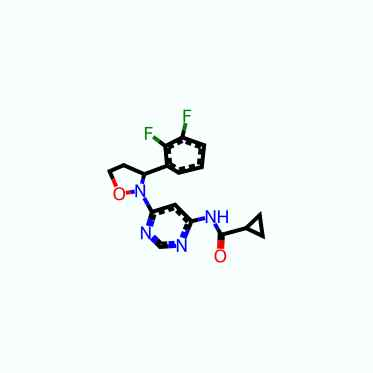 O=C(Nc1cc(N2OCCC2c2cccc(F)c2F)ncn1)C1CC1